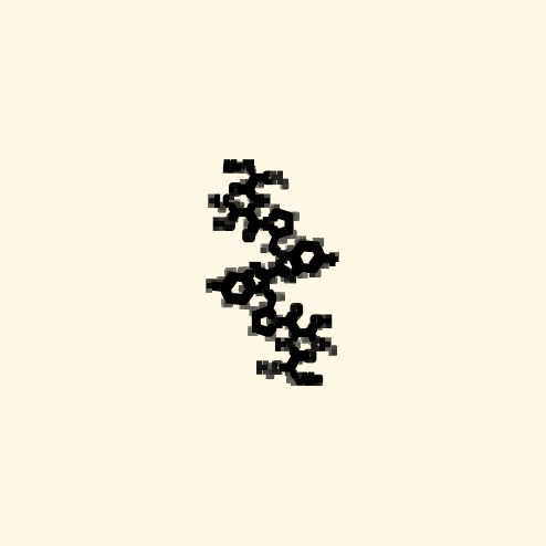 CN[C@H](C)C(=O)N[C@@H](C(=O)N1CCC[C@H]1Cn1c(-c2nc3cc(F)ccc3n2C[C@@H]2CCCN2C(=O)[C@H](NC(=O)[C@@H](C)NC)[C@H](C)O)nc2cc(F)ccc21)[C@H](C)O